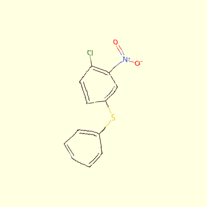 O=[N+]([O-])c1cc(Sc2ccccc2)ccc1Cl